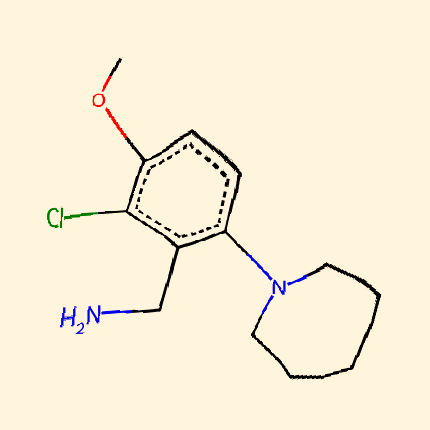 COc1ccc(N2CCCCC2)c(CN)c1Cl